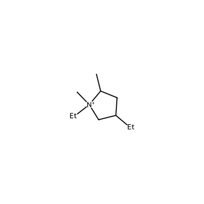 CCC1CC(C)[N+](C)(CC)C1